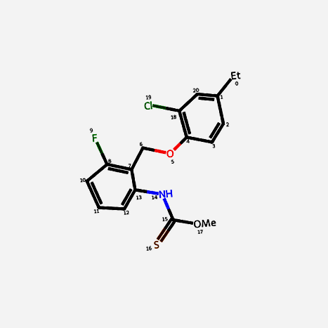 CCc1ccc(OCc2c(F)cccc2NC(=S)OC)c(Cl)c1